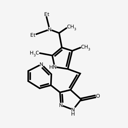 CCN(CC)C(C)c1c(C)[nH]c(/C=C2/C(=O)NN=C2c2cccnc2)c1C